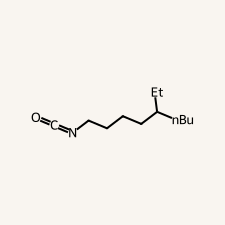 CCCCC(CC)CCCCN=C=O